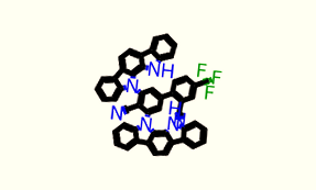 N#Cc1cc(C(F)(F)F)ccc1-c1cc(-n2c3ccccc3c3ccc4c5ccccc5[nH]c4c32)c(C#N)c(-n2c3ccccc3c3ccc4c5ccccc5[nH]c4c32)c1